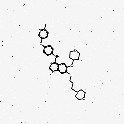 Cc1ccc(Oc2ccc(Nc3ncnc4cc(OCCCN5CCOCC5)c(OC5CCOCC5)cc34)cc2)cn1